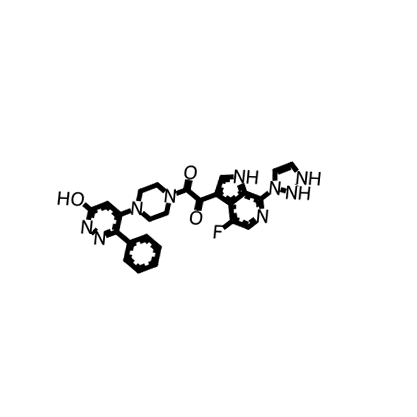 O=C(C(=O)N1CCN(c2cc(O)nnc2-c2ccccc2)CC1)c1c[nH]c2c(N3C=CNN3)ncc(F)c12